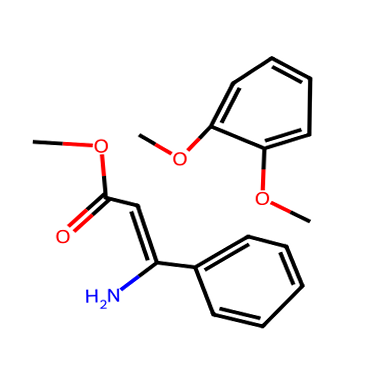 COC(=O)C=C(N)c1ccccc1.COc1ccccc1OC